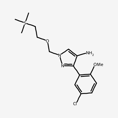 COc1ccc(Cl)cc1-c1nn(COCCS(C)(C)C)cc1N